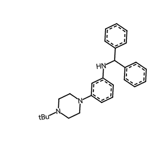 CC(C)(C)N1CCN(c2cccc(NC(c3ccccc3)c3ccccc3)c2)CC1